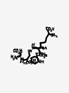 CC(C)CC(N)C(=O)O.N=C(N)NCCCC(N)C(=O)O.NCC(=O)O.O=C(O)[C@@H]1CCCN1